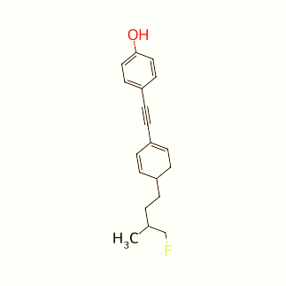 CC(CF)CCC1C=CC(C#Cc2ccc(O)cc2)=CC1